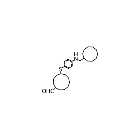 O=CC1CCCCCCC(Sc2ccc(NCC3CCCCCCCCC3)cc2)CCC1